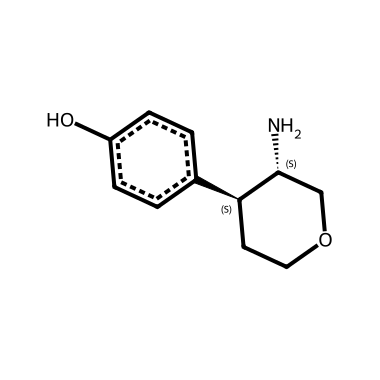 N[C@@H]1COCC[C@H]1c1ccc(O)cc1